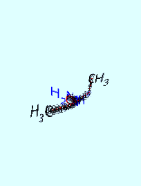 CCCCCCCC/C=C\CCCCCCCCN=CN(CCCCCCCCCCCCCCCC)NCCC(N)=O